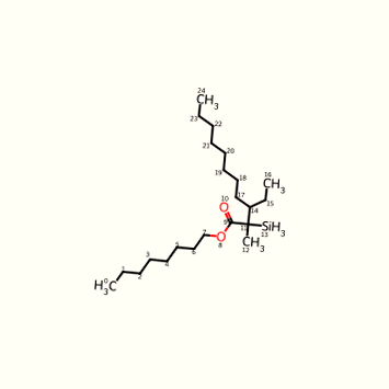 CCCCCCCCOC(=O)C(C)([SiH3])C(CC)CCCCCCCC